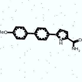 COc1ccc(-c2ccc(-c3ccc(C(N)=O)[nH]3)cc2)cc1